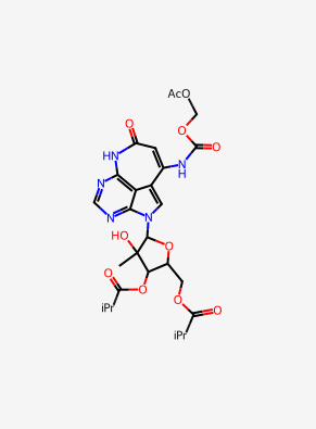 CC(=O)OCOC(=O)NC1=CC(=O)Nc2ncnc3c2c1cn3C1OC(COC(=O)C(C)C)C(OC(=O)C(C)C)C1(C)O